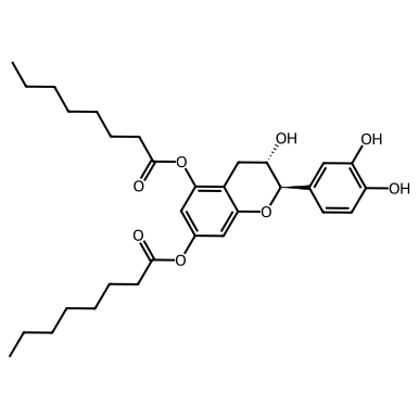 CCCCCCCC(=O)Oc1cc(OC(=O)CCCCCCC)c2c(c1)O[C@H](c1ccc(O)c(O)c1)[C@@H](O)C2